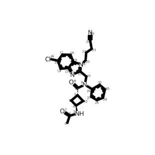 CC(=O)N[C@H]1C[C@H](C(=O)N(Cc2nc3cc(Cl)ccc3n2CCCC#N)c2ccccc2)C1